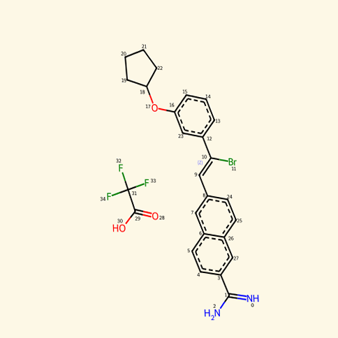 N=C(N)c1ccc2cc(/C=C(\Br)c3cccc(OC4CCCC4)c3)ccc2c1.O=C(O)C(F)(F)F